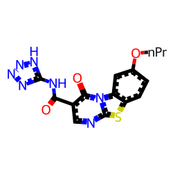 CCCOc1ccc2sc3ncc(C(=O)Nc4nnn[nH]4)c(=O)n3c2c1